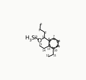 CCCC(O[SiH3])c1cccc(CC)c1CC